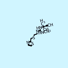 C#CC(C)(C)N/C(=N/CCSCc1nccs1)NC#N